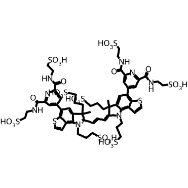 CC1(CCCS(=O)(=O)O)C(/C=C/C=C2/N(CCCS(=O)(=O)O)c3c(cc(-c4cc(C(=O)NCCS(=O)(=O)O)nc(C(=O)NCCS(=O)(=O)O)c4)c4sccc34)C2(C)CCCS(=O)(=O)O)=[N+](CCCS(=O)(=O)O)c2c1cc(-c1cc(C(=O)NCCS(=O)(=O)O)nc(C(=O)NCCS(=O)(=O)O)c1)c1sccc21